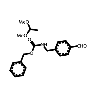 COC(C)OC.O=Cc1ccc(CNC(=O)OCc2ccccc2)cc1